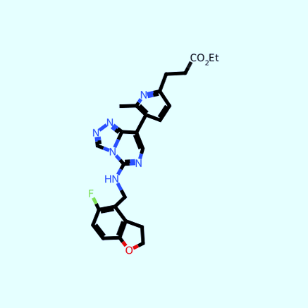 CCOC(=O)CCc1ccc(-c2cnc(NCc3c(F)ccc4c3CCO4)n3cnnc23)c(C)n1